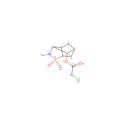 CN1C2C3CC(CC3S1(=O)=O)C2OC(=O)CCl